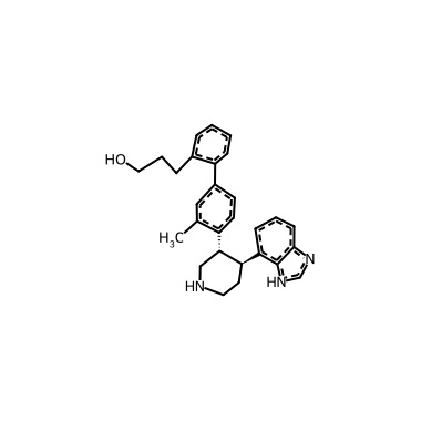 Cc1cc(-c2ccccc2CCCO)ccc1[C@H]1CNCC[C@@H]1c1cccc2nc[nH]c12